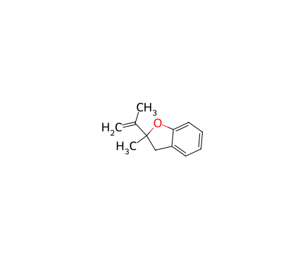 C=C(C)C1(C)Cc2ccccc2O1